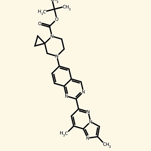 Cc1cn2nc(-c3ncc4cc(N5CCN(C(=O)OC(C)(C)C)C6(CC6)C5)ccc4n3)cc(C)c2n1